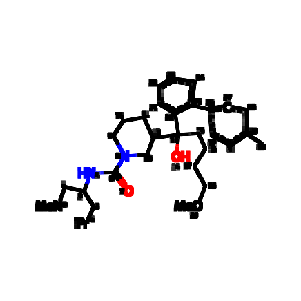 CNCC(CC(C)C)NC(=O)N1CCCC(C(O)(CCCCOC)c2ccccc2-c2ccc(C)cc2)C1